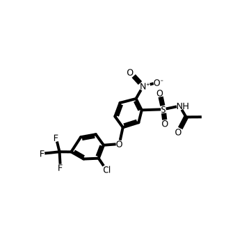 CC(=O)NS(=O)(=O)c1cc(Oc2ccc(C(F)(F)F)cc2Cl)ccc1[N+](=O)[O-]